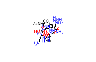 CC(=O)N[C@@H](CC(=O)O)C(=O)N[C@@H](Cc1ccccc1)C(=O)N[C@@H](CO)C(=O)N[C@@H](CCCCN)C(=O)N[C@@H](CC(C)C)C(=O)N[C@@H](C)C(=O)N[C@@H](CC(C)C)C(=O)N[C@@H](CCCNC(=N)N)C(N)=O